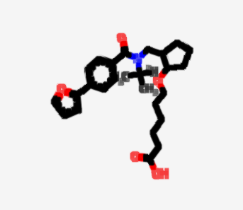 [2H]C(C)(C)N(CC1CCCC1OCCCCCC(=O)O)C(=O)c1ccc(-c2ccco2)cc1